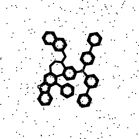 c1ccc(-c2ccc(N(c3cccc(-c4ccccc4)c3)c3ccc4c(c3)C(Cc3ccc5ccccc5c3)CCc3cc5oc6ccccc6c5c(-c5ccccc5)c3-4)cc2)cc1